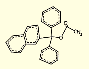 CC(=O)OC(c1ccccc1)(c1ccccc1)c1ccc2ccccc2c1